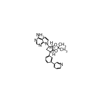 CC1(C)O[C@@H]2[C@H](O1)[C@@H](c1cccc(-c3cccnc3)c1)C[C@H]2n1ccc2c(N)ncnc21